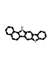 c1ccc2c(c1)ccc1c3cc4sc5ccccc5c4cc3[nH]c21